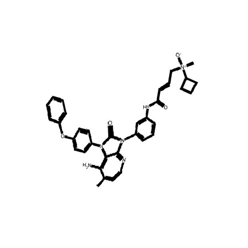 CC1=C=CN=c2c(n(-c3ccc(Oc4ccccc4)cc3)c(=O)n2-c2cccc(NC(=O)/C=C/C[N+](C)([O-])C3CCC3)c2)=C1N